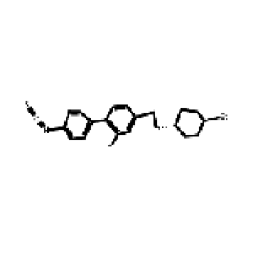 CC[C@H]1CC[C@H](CCc2ccc(-c3ccc(N=C=S)cc3)c(F)c2)CC1